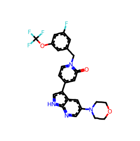 O=c1cc(-c2c[nH]c3ncc(N4CCOCC4)cc23)ccn1Cc1cc(F)cc(OC(F)(F)F)c1